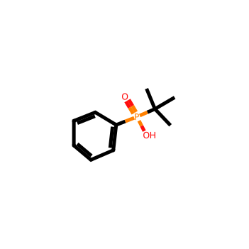 CC(C)(C)P(=O)(O)c1ccccc1